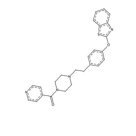 O=C(c1ccncc1)N1CCN(CCc2ccc(Oc3nc4ccccc4s3)cc2)CC1